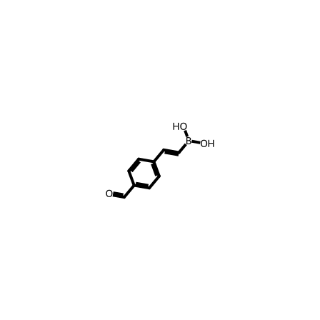 O=Cc1ccc(/C=C/B(O)O)cc1